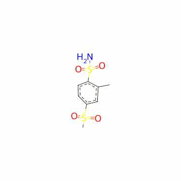 Cc1cc(S(C)(=O)=O)ccc1S(N)(=O)=O